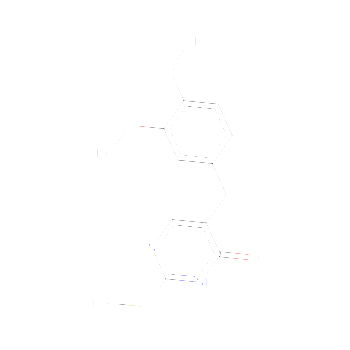 COc1ccc(Cc2cnc(SC)[nH]c2=O)cc1OC